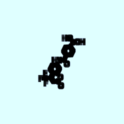 O=C(Nc1ccc2c(C(F)(F)F)cc(=O)oc2c1)c1ccc(B(O)O)cc1